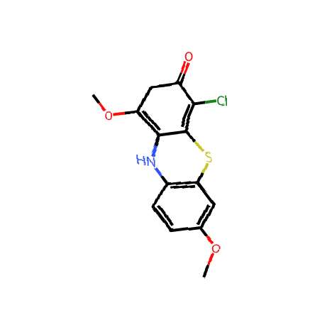 COC1=C2Nc3ccc(OC)cc3SC2=C(Cl)C(=O)C1